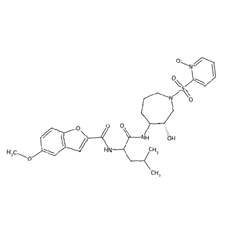 COc1ccc2oc(C(=O)NC(CC(C)C)C(=O)NC3CCCN(S(=O)(=O)c4cccc[n+]4[O-])C[C@@H]3O)cc2c1